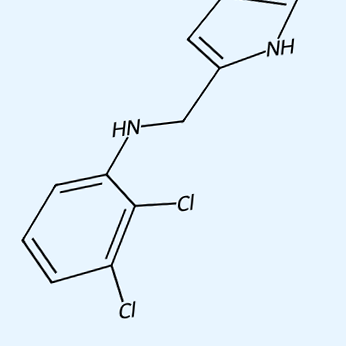 Clc1cccc(NCc2cnc[nH]2)c1Cl